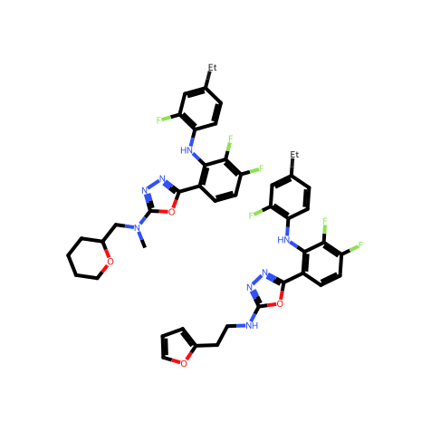 CCc1ccc(Nc2c(-c3nnc(N(C)CC4CCCCO4)o3)ccc(F)c2F)c(F)c1.CCc1ccc(Nc2c(-c3nnc(NCCc4ccco4)o3)ccc(F)c2F)c(F)c1